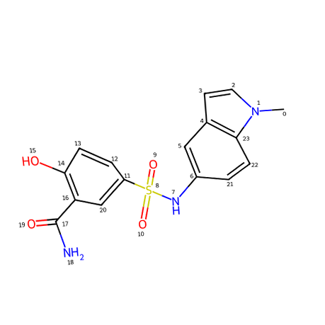 Cn1ccc2cc(NS(=O)(=O)c3ccc(O)c(C(N)=O)c3)ccc21